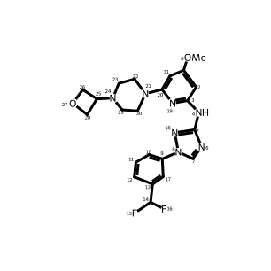 COc1cc(Nc2ncn(-c3cccc(C(F)F)c3)n2)nc(N2CCN(C3COC3)CC2)c1